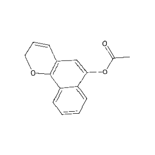 CC(=O)Oc1cc2c(c3ccccc13)OCC=C2